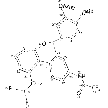 COc1ccc(C2Oc3cccc(OC(F)F)c3-c3ccc(NC(=O)C(F)(F)F)cc32)cc1OC